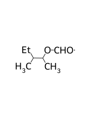 CCC(C)C(C)O[C]=O